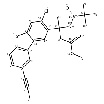 CC#Cc1ccc2sc3cc(Cl)c(C(C)(CC(=O)OC)N[S@+]([O-])C(C)(C)C)cc3c2c1